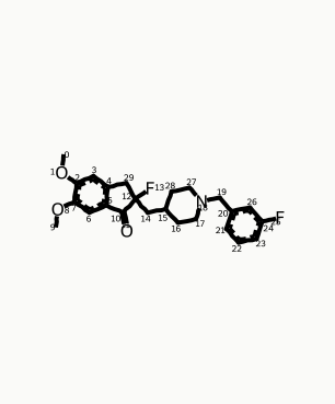 COc1cc2c(cc1OC)C(=O)C(F)(CC1CCN(Cc3cccc(F)c3)CC1)C2